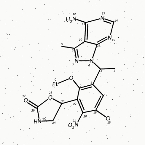 CCOc1c(C(C)n2nc(C)c3c(N)ncnc32)cc(Cl)c([N+](=O)[O-])c1C1CNC(=O)O1